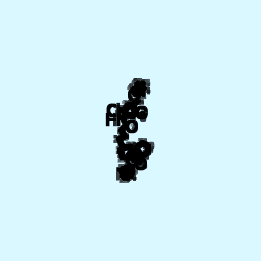 COc1cc(NC(=O)CCCc2cccc(C3(C(=O)OC4CN5CCC4CC5)CCCCC3)c2)c(Cl)cc1CO[Si](C)(C)C(C)(C)C